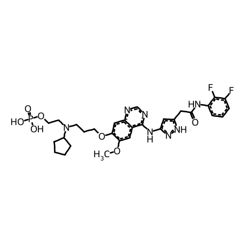 COc1cc2c(Nc3cc(CC(=O)Nc4cccc(F)c4F)[nH]n3)ncnc2cc1OCCCN(CCOP(=O)(O)O)C1CCCC1